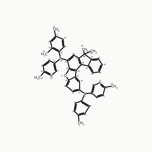 Cc1ccc(N(c2ccc(C)nc2)c2ccc3oc4c(N(c5ccc(C)nc5)c5ccc(C)cc5C)cc5c(c4c3c2)-c2ccccc2C5(C)C)cc1